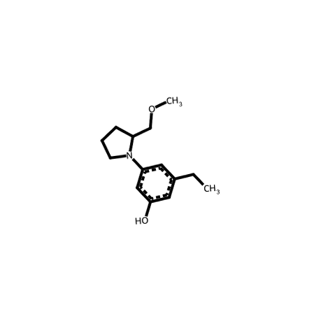 CCc1cc(O)cc(N2CCCC2COC)c1